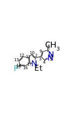 CCn1c(-c2cnnc(C)c2)cc2ccc(F)cc21